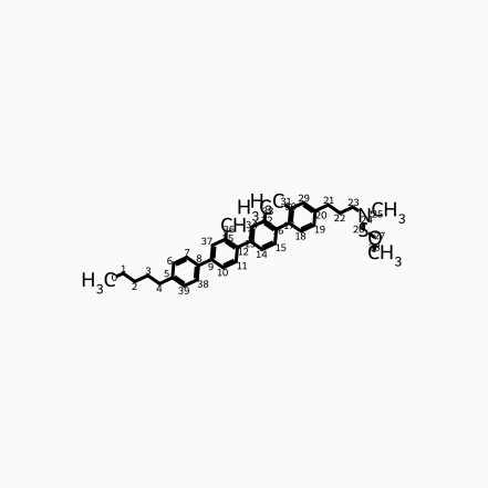 CCCCCc1ccc(-c2ccc(-c3ccc(-c4ccc(CCCN(C)SOC)cc4C)c(C)c3)c(C)c2)cc1